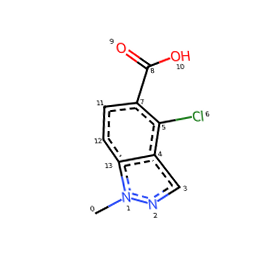 Cn1ncc2c(Cl)c(C(=O)O)ccc21